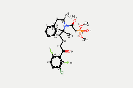 CCOP(=O)(CC(=O)N(C(Cc1ccccc1)C(=O)O)C(C)(C)CCCC(=O)c1c(F)ccc(Cl)c1F)OCC